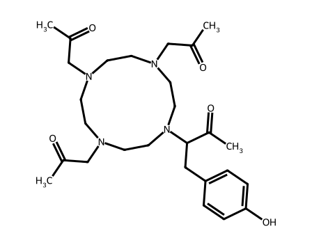 CC(=O)CN1CCN(CC(C)=O)CCN(C(Cc2ccc(O)cc2)C(C)=O)CCN(CC(C)=O)CC1